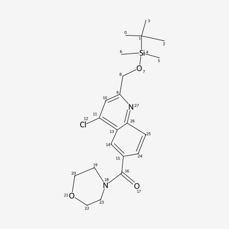 CC(C)(C)[Si](C)(C)OCc1cc(Cl)c2cc(C(=O)N3CCOCC3)ccc2n1